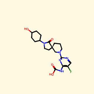 O=C(O)Nc1nc(N2CCC[C@]3(CCN(C4CCC(O)CC4)C3=O)C2)ncc1F